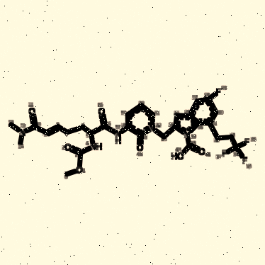 COC(=O)NC(CCC=CC(=O)N(C)C)C(=O)Nc1cccn(Cc2cc3cc(F)cc(CCC(F)(F)F)c3n2C(=O)O)c1=O